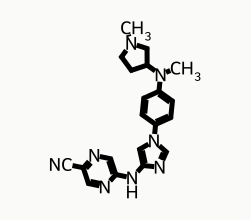 CN1CCC(N(C)c2ccc(-n3cnc(Nc4cnc(C#N)cn4)c3)cc2)C1